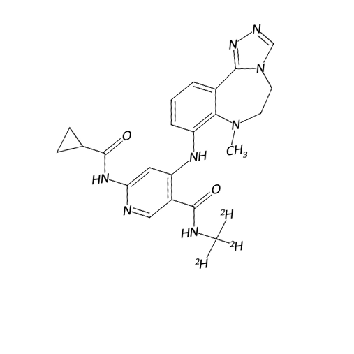 [2H]C([2H])([2H])NC(=O)c1cnc(NC(=O)C2CC2)cc1Nc1cccc2c1N(C)CCn1cnnc1-2